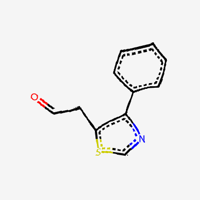 O=CCc1s[c]nc1-c1ccccc1